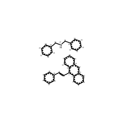 C(=Cc1c2ccccc2cc2ccccc12)c1ccccc1.c1ccc(CNCc2ccccc2)cc1